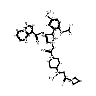 CSc1ccc(OC(F)F)c(C2NN(CC(=O)N3CCC(N(C)CC(=O)N4CCC4)CC3)C=C2NC(=O)c2cnn3cccnc23)c1